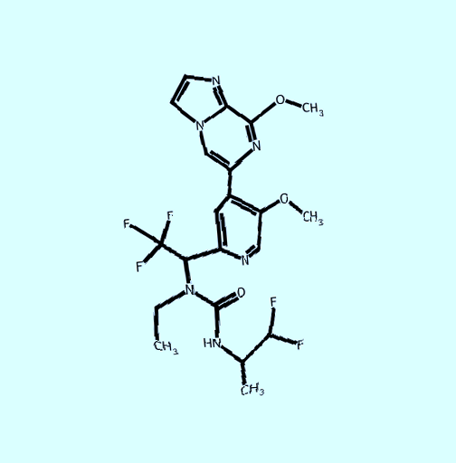 CCN(C(=O)NC(C)C(F)F)C(c1cc(-c2cn3ccnc3c(OC)n2)c(OC)cn1)C(F)(F)F